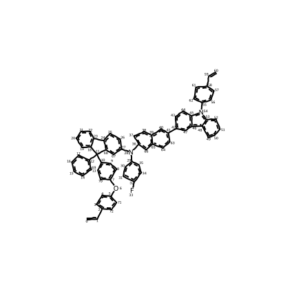 C=Cc1ccc(Oc2ccc(C3(c4ccccc4)c4ccccc4-c4ccc(N(c5ccc(F)cc5)c5ccc6cc(-c7ccc8c(c7)c7ccccc7n8-c7ccc(C=C)cc7)ccc6c5)cc43)cc2)cc1